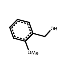 [CH2]Oc1ccccc1CO